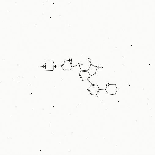 CN1CCN(c2ccc(Nc3ccc(-c4ccnc(C5CCCCO5)c4)c4c3C(=O)NC4)nc2)CC1